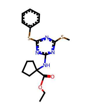 CCOC(=O)C1(Nc2nc(SC)nc(Sc3ccccc3)n2)CCCC1